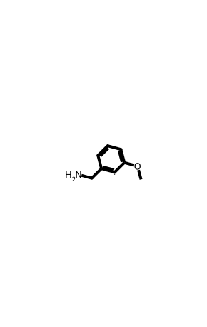 COc1[c]c(CN)ccc1